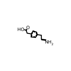 NC=CCc1ccc(CC(=O)O)cc1